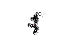 O=C(O)c1ccc2c(c1)nc(-c1ccc(OCc3cc(C(=O)N4CCC(O)CC4)sc3-c3ccc(F)cc3)cc1F)n2C1CCCCC1